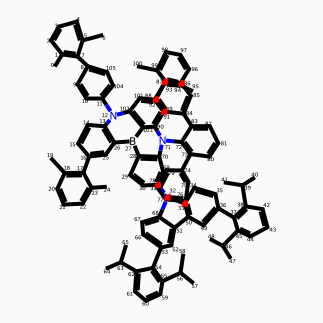 Cc1cccc(C)c1-c1ccc(N2c3ccc(-c4c(C)cccc4C)cc3B3c4ccc(-n5c6ccc(-c7c(C(C)C)cccc7C(C)C)cc6c6cc(-c7c(C(C)C)cccc7C(C)C)ccc65)cc4N(c4c(-c5ccccc5)cccc4-c4ccccc4)c4cc(-c5c(C)cccc5C)cc2c43)cc1